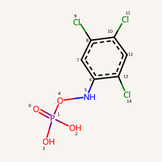 O=P(O)(O)ONc1cc(Cl)c(Cl)cc1Cl